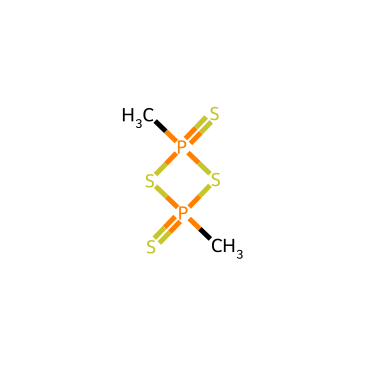 CP1(=S)SP(C)(=S)S1